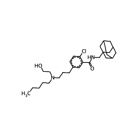 CCCCCN(CCO)CCCc1ccc(Cl)c(C(=O)NCC23CC4CC(CC(C4)C2)C3)c1